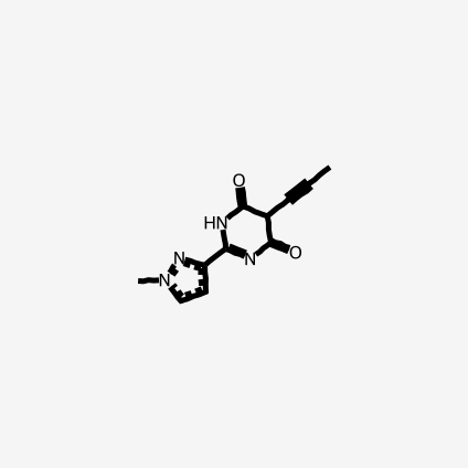 CC#CC1C(=O)N=C(c2ccn(C)n2)NC1=O